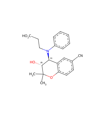 CC1(C)Oc2ccc(C#N)cc2[C@H](N(CCC(=O)O)c2ccccc2)[C@H]1O